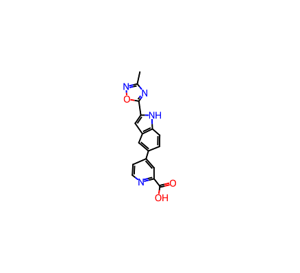 Cc1noc(-c2cc3cc(-c4ccnc(C(=O)O)c4)ccc3[nH]2)n1